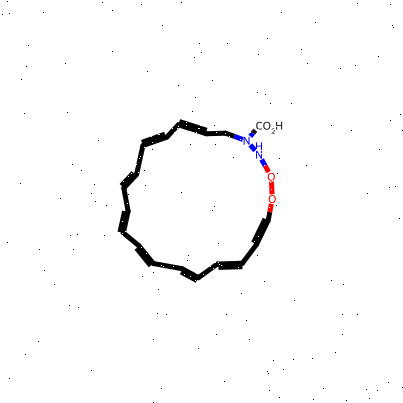 O=C(O)N1C/C=C/C=C/C=C/C=C/C=C\C=C\C=C\C=C/OON1